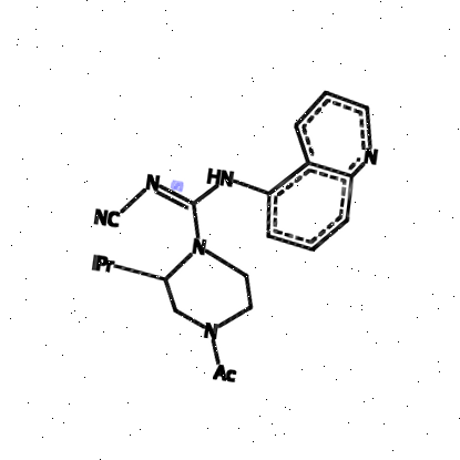 CC(=O)N1CCN(/C(=N\C#N)Nc2cccc3ncccc23)C(C(C)C)C1